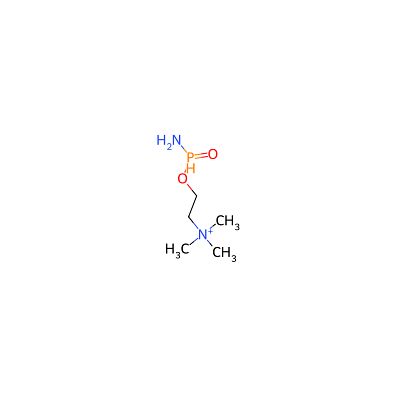 C[N+](C)(C)CCO[PH](N)=O